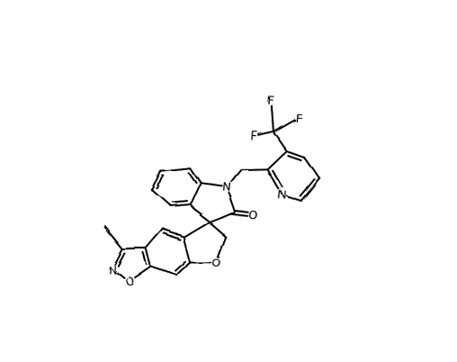 Cc1noc2cc3c(cc12)C1(CO3)C(=O)N(Cc2ncccc2C(F)(F)F)c2ccccc21